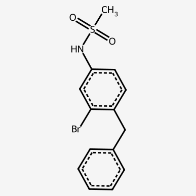 CS(=O)(=O)Nc1ccc(Cc2ccccc2)c(Br)c1